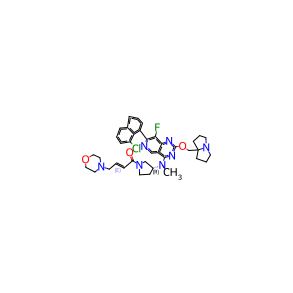 CN(c1nc(OCC23CCCN2CCC3)nc2c(F)c(-c3cccc4cccc(Cl)c34)ncc12)[C@@H]1CCN(C(=O)/C=C/CN2CCOCC2)C1